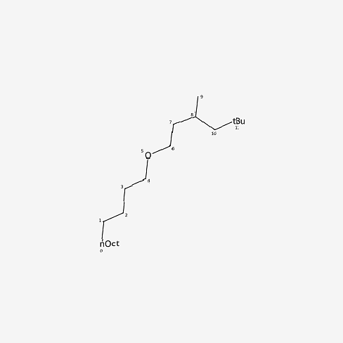 CCCCCCCCCCCCOCCC(C)CC(C)(C)C